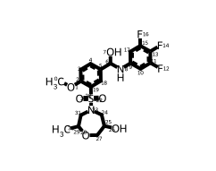 COc1ccc(C(O)Nc2cc(F)c(F)c(F)c2)cc1S(=O)(=O)N1CC(O)COC(C)C1